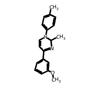 COc1cccc(C2=NC(C)N(c3ccc(C)cc3)C=C2)c1